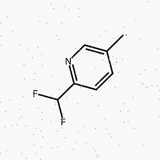 [CH2]c1ccc(C(F)F)nc1